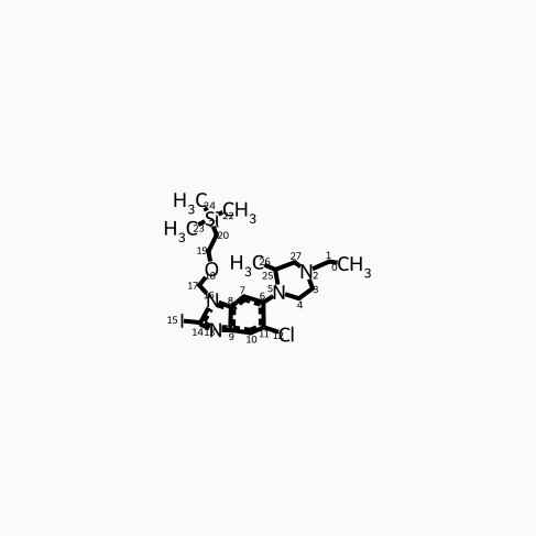 CCN1CCN(c2cc3c(cc2Cl)nc(I)n3COCC[Si](C)(C)C)C(C)C1